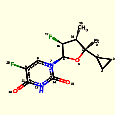 CC[C@@]1(C2CC2)O[C@@H](n2cc(F)c(=O)[nH]c2=O)[C@@H](F)[C@@H]1C